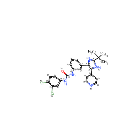 CC(C)(C)c1nc(-c2cccc(NC(=O)Nc3ccc(Cl)c(Cl)c3)c2)c(-c2ccncc2)[nH]1